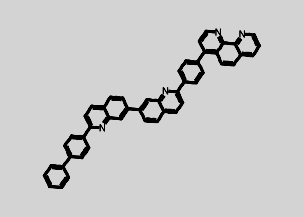 c1ccc(-c2ccc(-c3ccc4ccc(-c5ccc6ccc(-c7ccc(-c8ccnc9c8ccc8cccnc89)cc7)nc6c5)cc4n3)cc2)cc1